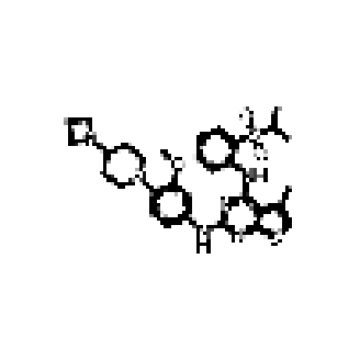 COc1cc(Nc2nc(Nc3ccccc3S(=O)(=O)C(C)C)c3c(C)csc3n2)ccc1N1CCC(N2CCC2)CC1